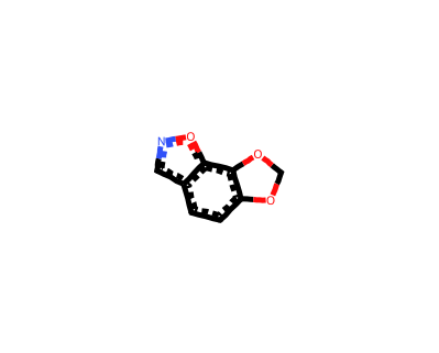 c1cc2cnoc2c2c1OCO2